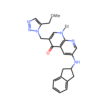 CCn1cc(Cn2nncc2COC)c(=O)c2cc(NC3Cc4ccccc4C3)cnc21